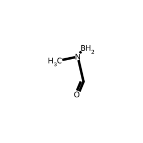 BN(C)C=O